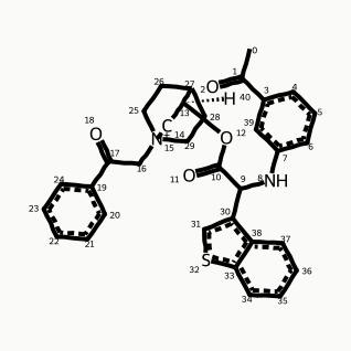 CC(=O)c1cccc(NC(C(=O)O[C@H]2C[N+]3(CC(=O)c4ccccc4)CCC2CC3)c2csc3ccccc23)c1